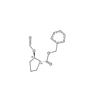 O=CO[C@@H]1CCC[C@H]1C(=O)OCc1ccccc1